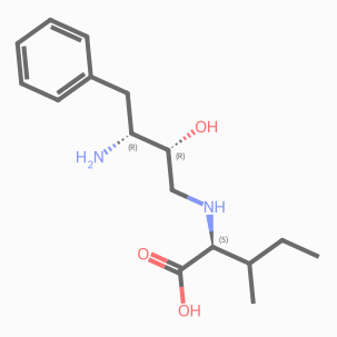 CCC(C)[C@H](NC[C@@H](O)[C@H](N)Cc1ccccc1)C(=O)O